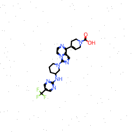 O=C(O)N1CC=C(c2nccn3c(N4CCCC(Nc5ncc(C(F)(F)F)cn5)C4)ncc23)CC1